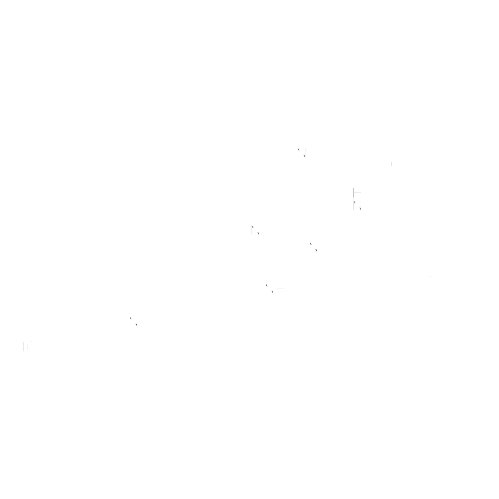 Cn1ccc2nc(Nc3ccc(N4CCC(O)CC4)cc3)nc(NCc3c(Cl)cccc3Cl)c21